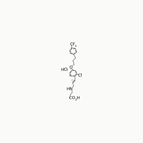 Cl.O=C(O)CCNC/C=C/c1ccc(OCCCc2ccc(C(F)(F)F)cc2)cc1Cl